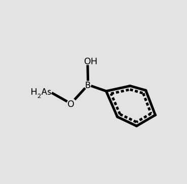 OB(O[AsH2])c1ccccc1